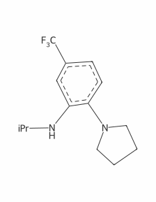 CC(C)Nc1cc(C(F)(F)F)ccc1N1CCCC1